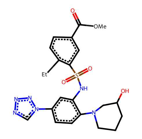 CCc1ccc(C(=O)OC)cc1S(=O)(=O)Nc1cc(-n2cnnn2)ccc1N1CCCC(O)C1